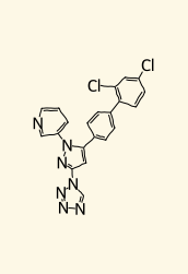 Clc1ccc(-c2ccc(-c3cc(-n4cnnn4)nn3-c3cccnc3)cc2)c(Cl)c1